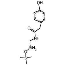 C[Si](C)(C)O[SiH2]CNC(=O)Cc1ccc(O)cc1